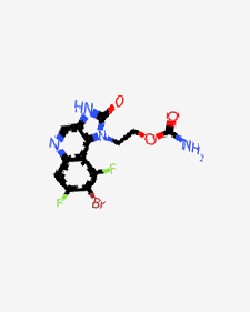 NC(=O)OCCn1c(=O)[nH]c2cnc3cc(F)c(Br)c(F)c3c21